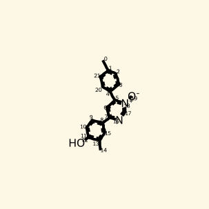 Cc1ccc(-c2cc(-c3ccc(O)c(C)c3)nc[n+]2[O-])cc1